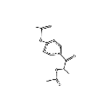 CC(=O)Oc1ccc(C(=O)C(C)OC(C)=O)cc1